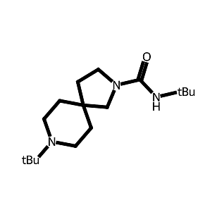 CC(C)(C)NC(=O)N1CCC2(CCN(C(C)(C)C)CC2)C1